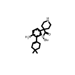 CC1(C)CC=C(c2cc(C3(C(=O)OC(C)(C)C)CCNCC3)ccc2N)CC1